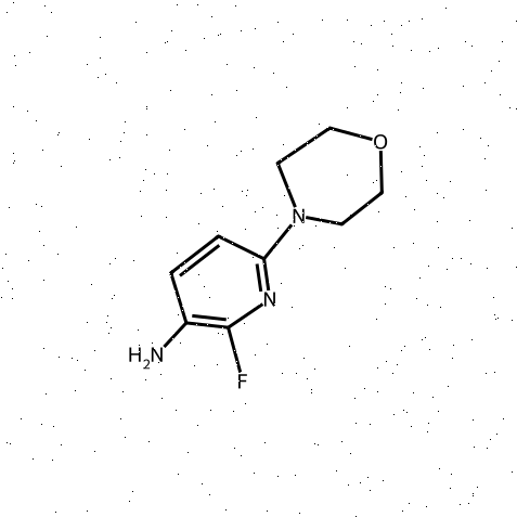 Nc1ccc(N2CCOCC2)nc1F